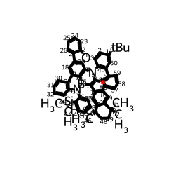 CC(C)(C)c1ccc(N2c3sc4cc5c(cc4c3B3c4c(cc6c(oc7ccccc76)c42)-c2cccc4c2N3c2ccccc2[Si]4(C)C)C(C)(C)CCC5(C)C)c(-c2ccccc2)c1